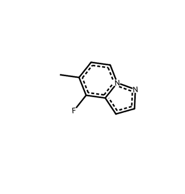 Cc1ccn2nccc2c1F